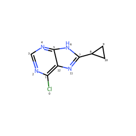 Clc1ncnc2[nH]c(C3CC3)nc12